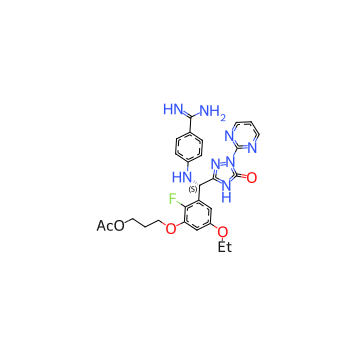 CCOc1cc(OCCCOC(C)=O)c(F)c([C@H](Nc2ccc(C(=N)N)cc2)c2nn(-c3ncccn3)c(=O)[nH]2)c1